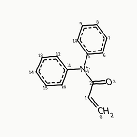 C=CC(=O)[N+](c1ccccc1)c1ccccc1